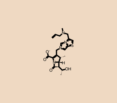 C=CCN(C)Cc1csc2cn(CC3=C(C(=O)[O-])N4C(=O)[C@H]([C@@H](C)O)[C@H]4[C@H]3C)c[n+]12